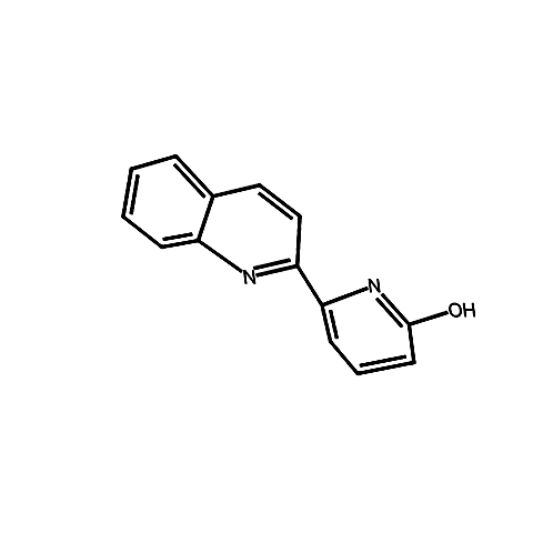 Oc1cccc(-c2ccc3ccccc3n2)n1